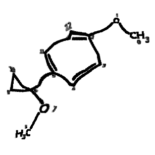 COc1ccc(C2(OC)CC2)cc1